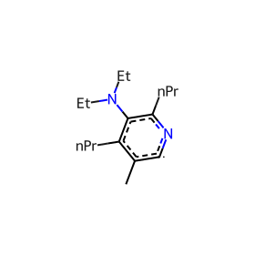 CCCc1n[c]c(C)c(CCC)c1N(CC)CC